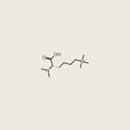 CN(C)[C@@H](CCCC[N+](C)(C)C)C(=O)O